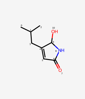 CC(C)CC1=CC(=O)NC1O